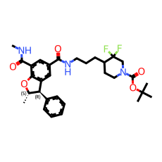 CNC(=O)c1cc(C(=O)NCCCC2CCN(C(=O)OC(C)(C)C)CC2(F)F)cc2c1O[C@@H](C)[C@@H]2c1ccccc1